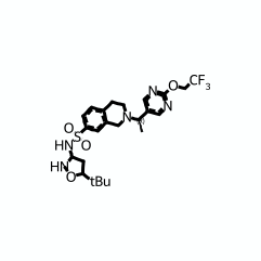 C[C@H](c1cnc(OCC(F)(F)F)nc1)N1CCc2ccc(S(=O)(=O)NC3CC(C(C)(C)C)ON3)cc2C1